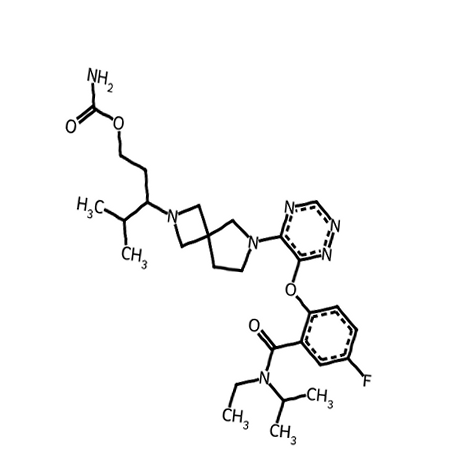 CCN(C(=O)c1cc(F)ccc1Oc1nncnc1N1CCC2(C1)CN(C(CCOC(N)=O)C(C)C)C2)C(C)C